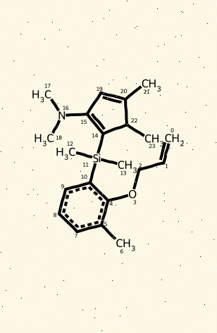 C=CCOc1c(C)cccc1[Si](C)(C)C1=C(N(C)C)C=C(C)C1C